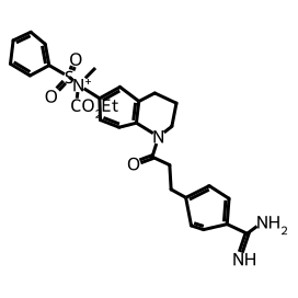 CCOC(=O)[N+](C)(c1ccc2c(c1)CCCN2C(=O)CCc1ccc(C(=N)N)cc1)S(=O)(=O)c1ccccc1